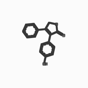 O=C1OCC(c2ccccc2)=C1c1ccc(O)cc1